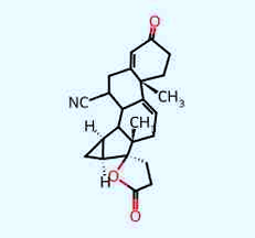 C[C@]12CCC(=O)C=C1CC(C#N)C1C2=CC[C@@]2(C)C1[C@@H]1C[C@@H]1[C@@]21CCC(=O)O1